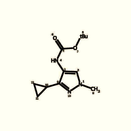 Cn1cc(NC(=O)OC(C)(C)C)c(C2CC2)n1